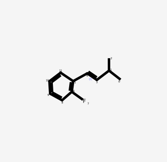 CC(C)/C=C/C1=C(F)C=C=C=C1